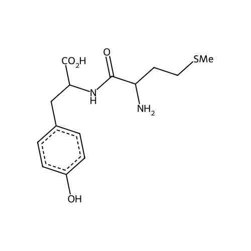 CSCCC(N)C(=O)NC(Cc1ccc(O)cc1)C(=O)O